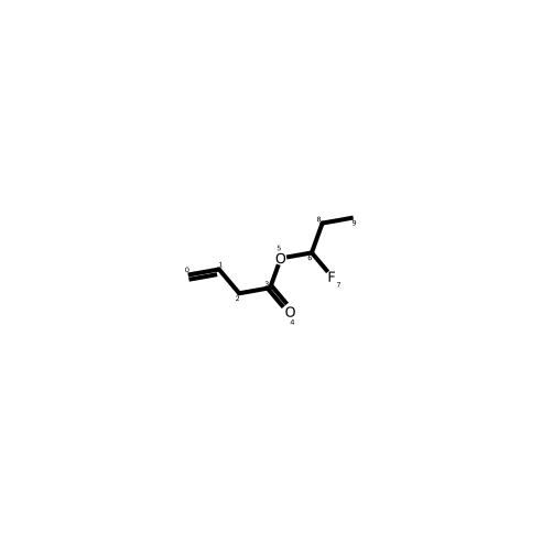 C=CCC(=O)OC(F)CC